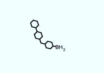 BC1CCC(CC2CCC(C3CCCCC3)CC2)CC1